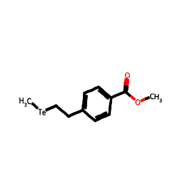 COC(=O)c1ccc(CC[Te]C)cc1